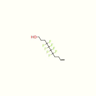 C=CCCC(F)(F)C(F)(F)C(F)(F)C(F)(F)CCCO